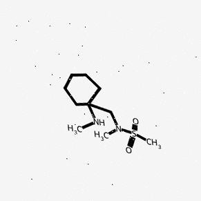 CNC1(CN(C)S(C)(=O)=O)CCCCC1